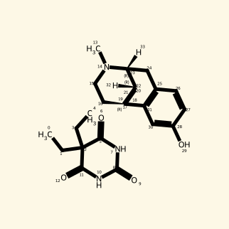 CCC1(CC)C(=O)NC(=O)NC1=O.CN1CC[C@]23CCCC[C@H]2[C@H]1Cc1ccc(O)cc13